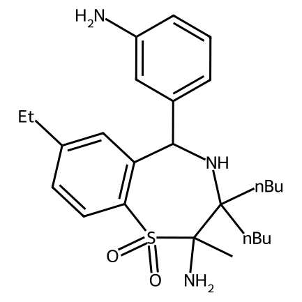 CCCCC1(CCCC)NC(c2cccc(N)c2)c2cc(CC)ccc2S(=O)(=O)C1(C)N